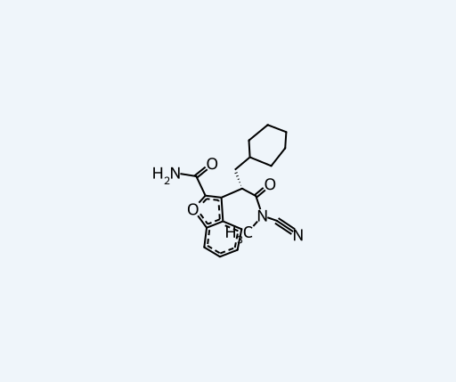 CN(C#N)C(=O)[C@@H](CC1CCCCC1)c1c(C(N)=O)oc2ccccc12